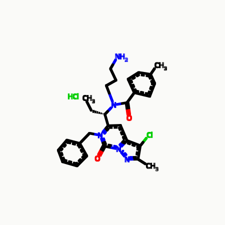 CC[C@@H](c1cc2c(Cl)c(C)nn2c(=O)n1Cc1ccccc1)N(CCCN)C(=O)c1ccc(C)cc1.Cl